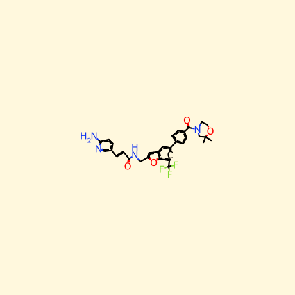 CC1(C)CN(C(=O)c2ccc(-c3cc(C(F)(F)F)c4oc(CNC(=O)C=Cc5ccc(N)nc5)cc4c3)cc2)CCO1